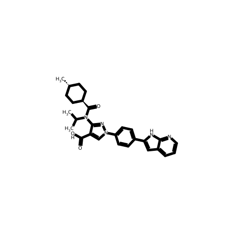 CC(C)N(c1nn(-c2ccc(-c3cc4cccnc4[nH]3)cc2)cc1C(=O)O)C(=O)[C@H]1CC[C@H](C)CC1